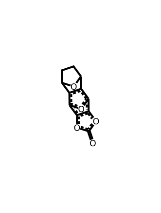 O=c1oc2c3oc(c4c3C3CCC4O3)c2o1